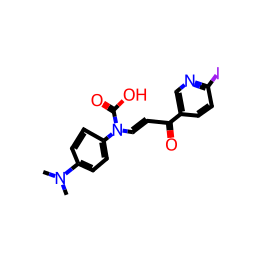 CN(C)c1ccc(N(C=CC(=O)c2ccc(I)nc2)C(=O)O)cc1